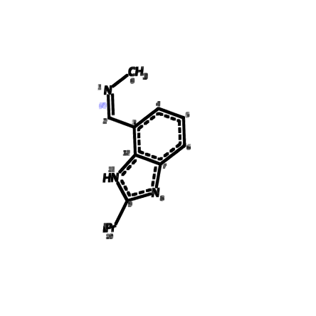 C/N=C\c1cccc2nc(C(C)C)[nH]c12